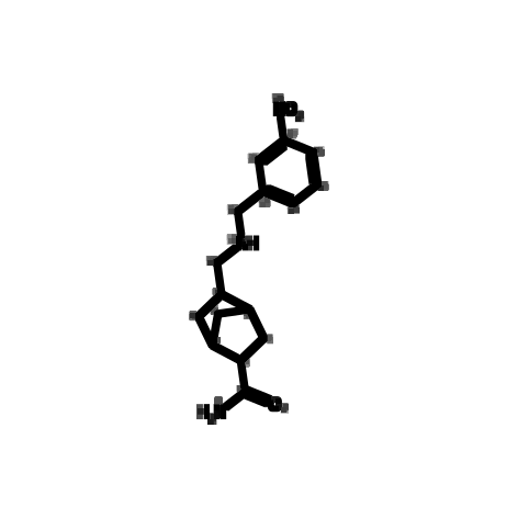 NC(=O)C1CC2CC1CC2CNCc1cccc([N+](=O)[O-])c1